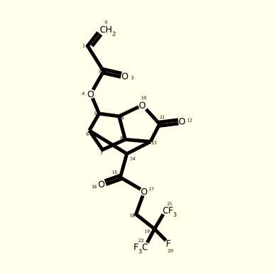 C=CC(=O)OC1C2CC3C1OC(=O)C3C2C(=O)OCC(F)(C(F)(F)F)C(F)(F)F